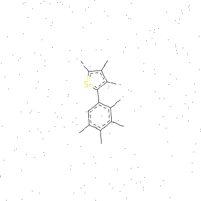 Cc1cc(-c2sc(C)c(C)c2C)c(C)c(C)c1C